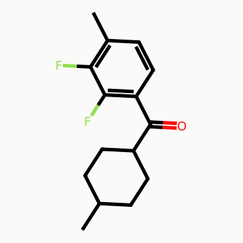 Cc1ccc(C(=O)C2CCC(C)CC2)c(F)c1F